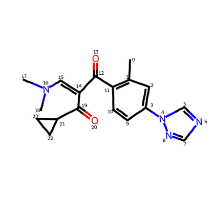 Cc1cc(-n2cncn2)ccc1C(=O)C(=CN(C)C)C(=O)C1CC1